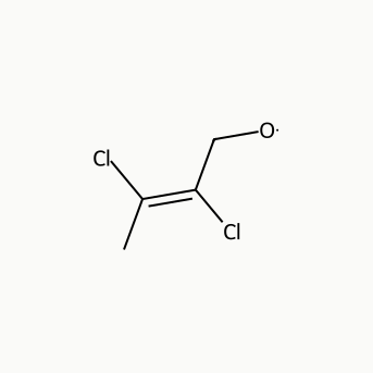 CC(Cl)=C(Cl)C[O]